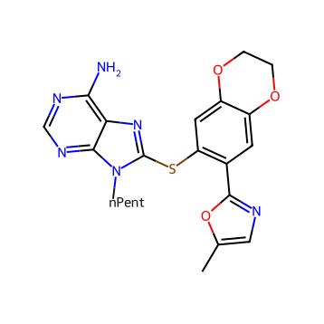 CCCCCn1c(Sc2cc3c(cc2-c2ncc(C)o2)OCCO3)nc2c(N)ncnc21